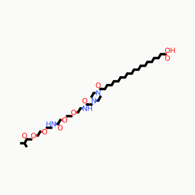 CC(C)C(=O)COCCOCCNC(=O)COCCOCCNC(=O)CN1CCN(C(=O)CCCCCCCCCCCCCCCCCCC(=O)O)CC1